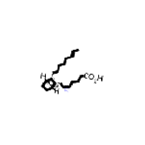 CC=CCCCCC[C@@H]1[C@H](C/C=C\CCCC(=O)O)[C@@H]2CC[C@H]1O2